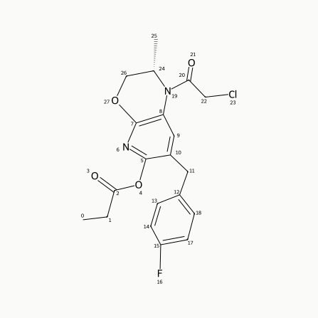 CCC(=O)Oc1nc2c(cc1Cc1ccc(F)cc1)N(C(=O)CCl)[C@@H](C)CO2